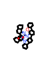 c1ccc(-c2nc(-n3c4c(ccc5c6ccccc6oc54)c4ccc5c6ccccc6n(-c6ccccc6)c5c43)nc3c2ccc2ccccc23)cc1